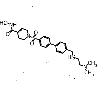 CN(C)CCNCc1ccc(-c2ccc(S(=O)(=O)N3CC=C(C(=O)NO)CC3)cc2)cc1